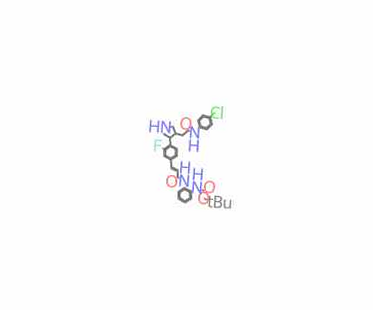 CC(C)(C)OC(=O)Nc1ccccc1NC(=O)C=Cc1ccc(C2CNCC2CC(=O)Nc2ccc(Cl)cc2)c(F)c1